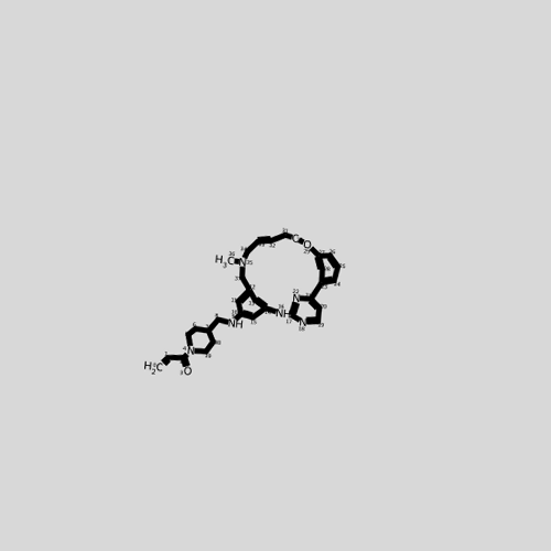 C=CC(=O)N1CCC(CNc2cc3cc(c2)Nc2nccc(n2)-c2cccc(c2)OCC/C=C/CN(C)C3)CC1